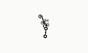 O=C(CN1CCc2cc(C#Cc3ccccc3)ccc2C1=O)NCCN1CCCCC1